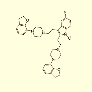 Fc1ccc2c(c1)c(CCN1CCN(c3cccc4c3OCC4)CC1)c(CCN1CCN(c3cccc4c3OCC4)CC1)n2Cl